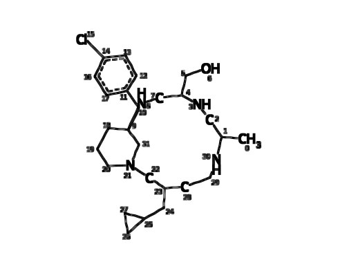 CC1CNC(CO)CNC2(Cc3ccc(Cl)cc3)CCCN(CC(CC3CC3)CCN1)C2